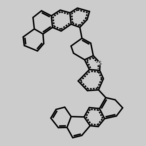 C1=CCC2C(=C1)C=Cc1cc3c(cc12)=C(c1ccc2c4c(sc2c1)C=C(c1cccc2cc5c(cc12)=C1C=CC=CC1CC=5)CC4)CCC=3